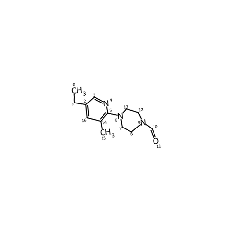 CCc1cnc(N2CCN(C=O)CC2)c(C)c1